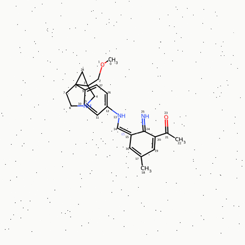 COCC12CNCCC1(c1ccc(N/C=C3/C=C(C)C=C(C(C)=O)C3=N)cc1)C2